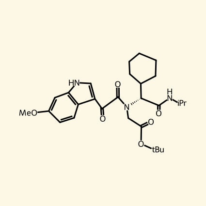 COc1ccc2c(C(=O)C(=O)N(CC(=O)OC(C)(C)C)[C@@H](C(=O)NC(C)C)C3CCCCC3)c[nH]c2c1